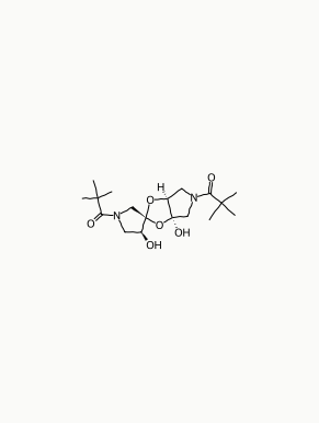 CC(C)(C)C(=O)N1C[C@H](O)[C@]2(C1)O[C@H]1CN(C(=O)C(C)(C)C)C[C@@]1(O)O2